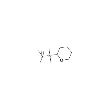 C[SiH](C)[Si](C)(C)C1CCCCO1